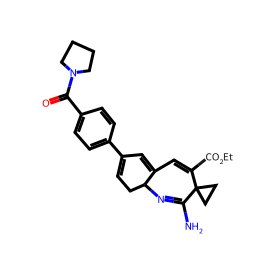 CCOC(=O)C1=CC2=CC(c3ccc(C(=O)N4CCCC4)cc3)=CCC2N=C(N)C12CC2